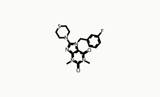 Cn1c(=O)c2c(nc(N3CCSCC3)n2Cc2cccc(F)c2)n(C)c1=O